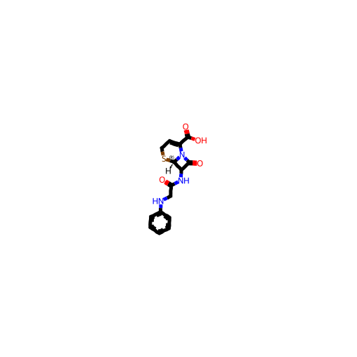 O=C(CNc1ccccc1)NC1C(=O)N2C(C(=O)O)=CCS[C@H]12